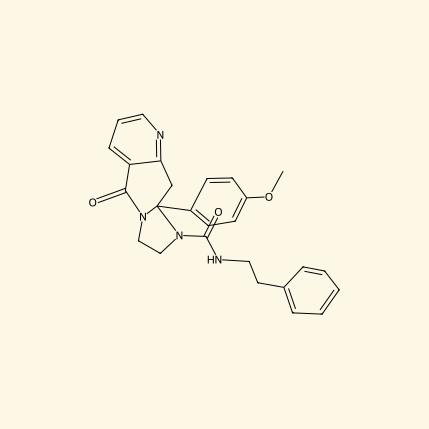 COc1ccc(C23Cc4ncccc4C(=O)N2CCN3C(=O)NCCc2ccccc2)cc1